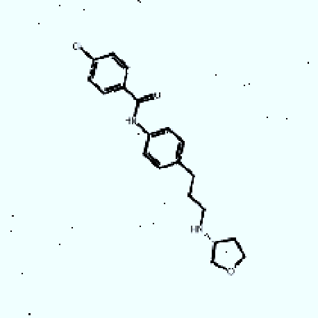 O=C(Nc1ccc(CCCN[C@@H]2CCOC2)cc1)c1ccc(Cl)cc1